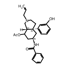 C=CCN1CC[C@@]2(c3cccc(O)c3)C[C@@H](NC(=O)c3ccccc3)CC(OC(C)=O)[C@@H]2C1